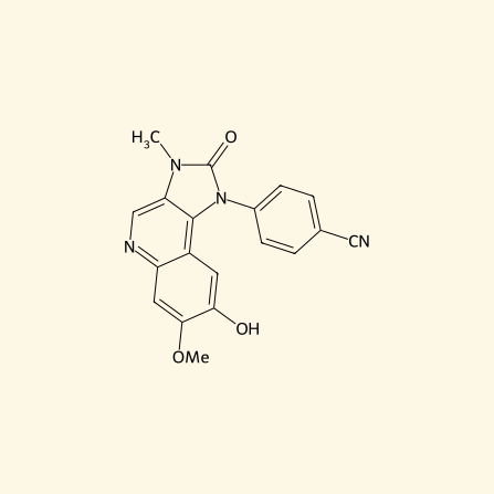 COc1cc2ncc3c(c2cc1O)n(-c1ccc(C#N)cc1)c(=O)n3C